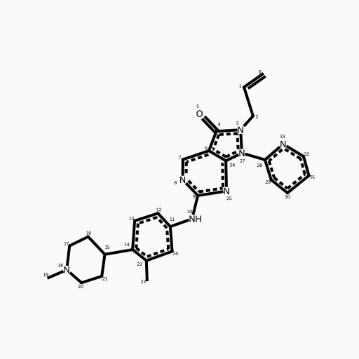 C=CCn1c(=O)c2cnc(Nc3ccc(C4CCN(C)CC4)c(C)c3)nc2n1-c1ccccn1